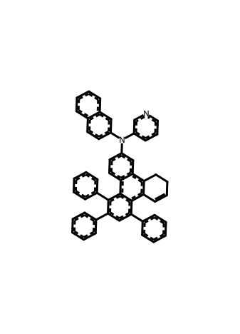 C1=Cc2c(c3cc(N(c4cccnc4)c4ccc5ccccc5c4)ccc3c3c(-c4ccccc4)c(-c4ccccc4)cc(-c4ccccc4)c23)CC1